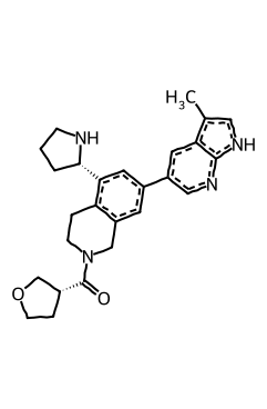 Cc1c[nH]c2ncc(-c3cc4c(c([C@@H]5CCCN5)c3)CCN(C(=O)[C@@H]3CCOC3)C4)cc12